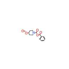 O=COC1CCN(C(=O)OC(=O)c2ccccc2)CC1